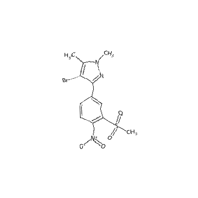 Cc1c(Br)c(-c2ccc([N+](=O)[O-])c(S(C)(=O)=O)c2)nn1C